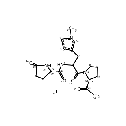 C[n+]1csc(CC(NC(=O)[C@@H]2CCC(=O)N2)C(=O)N2CCC[C@H]2C(N)=O)c1.[I-]